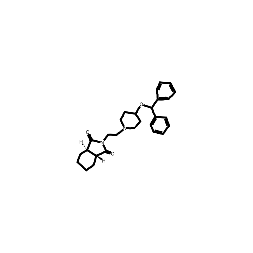 O=C1[C@@H]2CCCC[C@H]2C(=O)N1CCN1CCC(OC(c2ccccc2)c2ccccc2)CC1